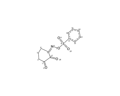 O=C1CCCC(=NOS(=O)(=O)c2ccccc2)C1=O